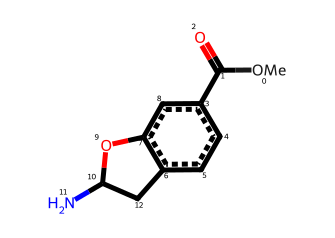 COC(=O)c1ccc2c(c1)OC(N)C2